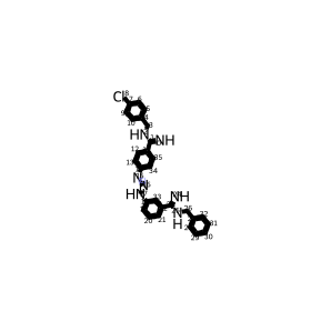 N=C(NCc1ccc(Cl)cc1)c1ccc(/N=N/Nc2cccc(C(=N)NCc3ccccc3)c2)cc1